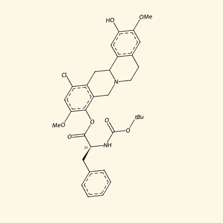 COc1cc2c(cc1O)C1Cc3c(Cl)cc(OC)c(OC(=O)[C@H](Cc4ccccc4)NC(=O)OC(C)(C)C)c3CN1CC2